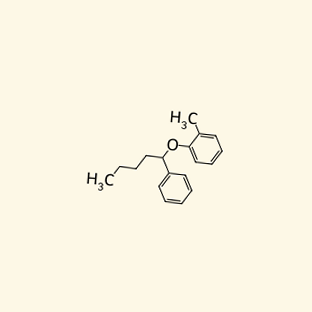 CCCCC(Oc1ccccc1C)c1ccccc1